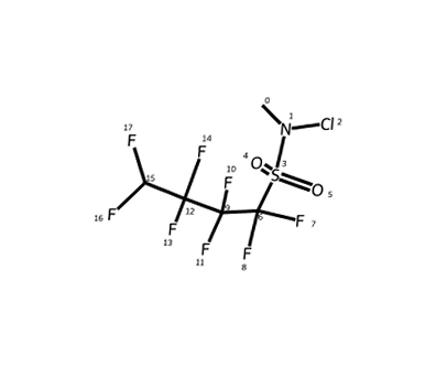 CN(Cl)S(=O)(=O)C(F)(F)C(F)(F)C(F)(F)C(F)F